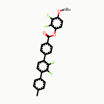 CCCCOc1ccc(OC(=O)c2ccc(-c3ccc(-c4ccc(C)cc4)c(F)c3F)cc2)c(F)c1F